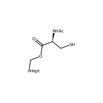 CCCCCCCCOC(=O)[C@H](CS)NC(C)=O